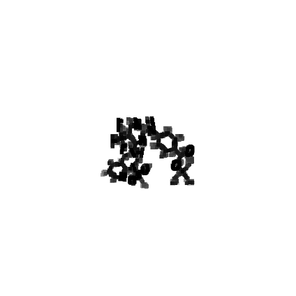 CN(c1ncccc1CNc1nc(Nc2ccc(C(=O)OC(C)(C)C)cc2)ncc1C(F)(F)F)S(C)(=O)=O